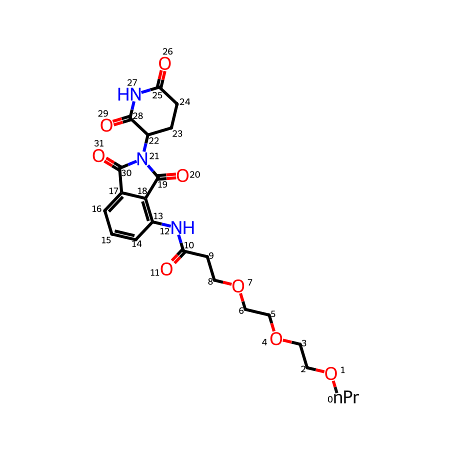 CCCOCCOCCOCCC(=O)Nc1cccc2c1C(=O)N(C1CCC(=O)NC1=O)C2=O